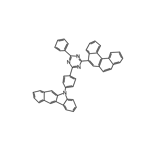 c1ccc(-c2nc(-c3ccc(-n4c5ccccc5c5cc6ccccc6cc54)cc3)nc(-c3cc4ccc5ccccc5c4c4ccccc34)n2)cc1